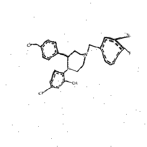 N#Cc1cc(Cl)ccc1N1CCN(Cc2ccc(F)c(F)c2)CC1c1ccc(Cl)cc1